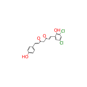 O=C(/C=C/c1ccc(O)cc1)CC(=O)/C=C/c1cc(Cl)cc(Cl)c1O